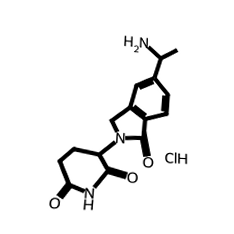 CC(N)c1ccc2c(c1)CN(C1CCC(=O)NC1=O)C2=O.Cl